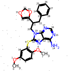 COc1ccc(OC)c(Sc2nc3c(N)ncnc3n2CC(Cc2ccccc2)C2=COCO2)c1